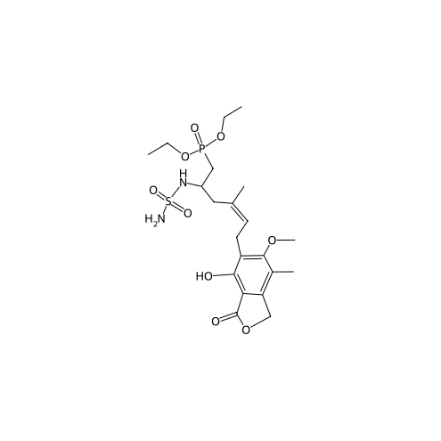 CCOP(=O)(CC(CC(C)=CCc1c(O)c2c(c(C)c1OC)COC2=O)NS(N)(=O)=O)OCC